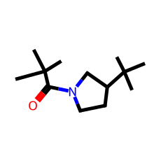 CC(C)(C)C(=O)N1CCC(C(C)(C)C)C1